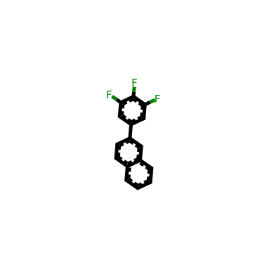 Fc1cc(-c2ccc3ccccc3c2)cc(F)c1F